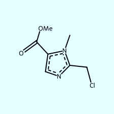 COC(=O)c1cnc(CCl)n1C